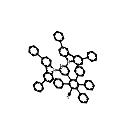 N#Cc1c(-c2ccccc2)c(-c2ccccc2)c(-c2ccccc2)c(-c2cc(-n3c4ccc(-c5ccccc5)cc4c4cc(-c5ccccc5)ccc43)nc(-n3c4ccc(-c5ccccc5)cc4c4cc(-c5ccccc5)ccc43)c2)c1-c1ccccc1